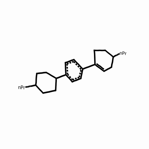 CCCC1CC=C(c2ccc(C3CCC(CCC)CC3)cc2)CC1